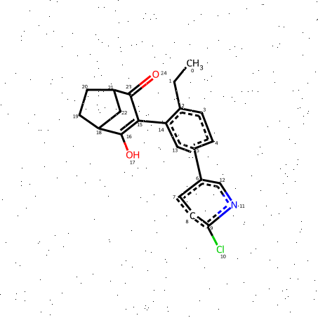 CCc1ccc(-c2ccc(Cl)nc2)cc1C1=C(O)C2CCC(C2)C1=O